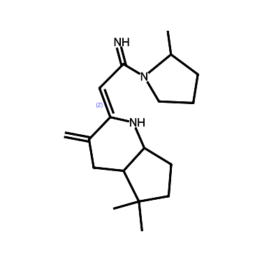 C=C1CC2C(CCC2(C)C)N/C1=C\C(=N)N1CCCC1C